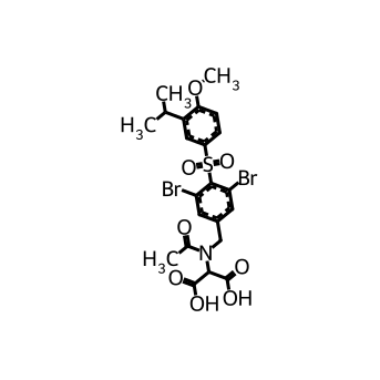 COc1ccc(S(=O)(=O)c2c(Br)cc(CN(C(C)=O)C(C(=O)O)C(=O)O)cc2Br)cc1C(C)C